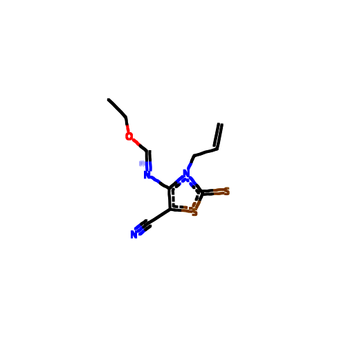 C=CCn1c(/N=C/OCC)c(C#N)sc1=S